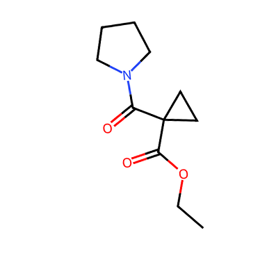 CCOC(=O)C1(C(=O)N2CCCC2)CC1